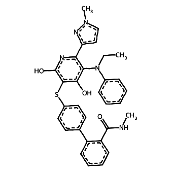 CCN(c1ccccc1)c1c(-c2ccn(C)n2)nc(O)c(Sc2ccc(-c3ccccc3C(=O)NC)cc2)c1O